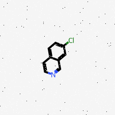 Clc1ccc2[c]cncc2c1